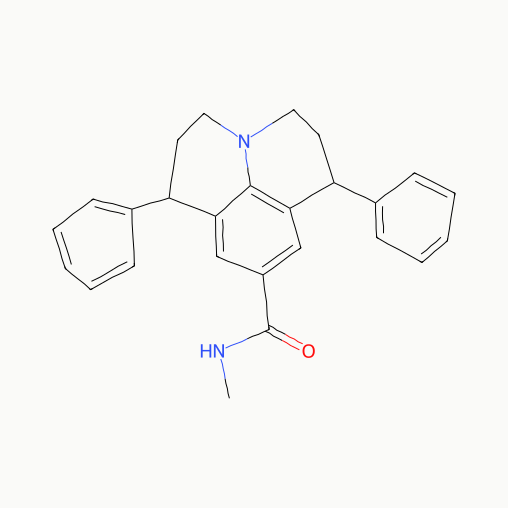 CNC(=O)c1cc2c3c(c1)C(c1ccccc1)CCN3CCC2c1ccccc1